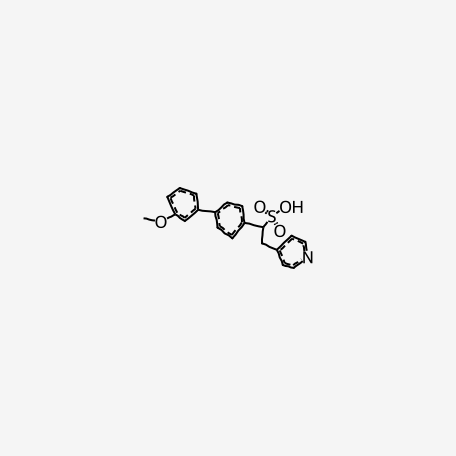 COc1cccc(-c2ccc(C(Cc3ccncc3)S(=O)(=O)O)cc2)c1